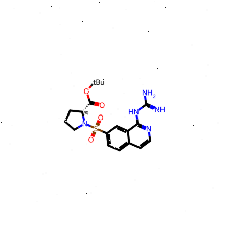 CC(C)(C)OC(=O)[C@H]1CCCN1S(=O)(=O)c1ccc2ccnc(NC(=N)N)c2c1